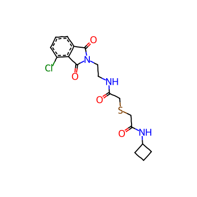 O=C(CSCC(=O)NC1CCC1)NCCN1C(=O)c2cccc(Cl)c2C1=O